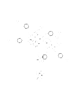 C=C1N[C@H]2CSC(CCCCC(=O)NCCCC[C@H](NC(=O)CN(CCc3ccc(OC)cc3)C(=O)CN(CCc3ccc(OC)cc3)C(=O)CN(CCN)C(=O)CN(CCc3ccc(OC)cc3)C(=O)CN(CCN)C(=O)CN(CCc3ccc(OC)cc3)C(=O)CN(CCc3ccc(OC)cc3)C(=O)CN(CCN)C(C)=O)C(N)=O)[C@H]2N1